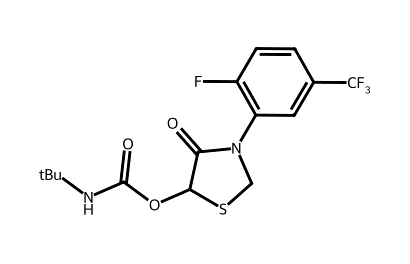 CC(C)(C)NC(=O)OC1SCN(c2cc(C(F)(F)F)ccc2F)C1=O